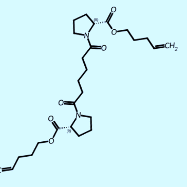 C=CCCCOC(=O)[C@H]1CCCN1C(=O)CCCCC(=O)N1CCC[C@@H]1C(=O)OCCCC=C